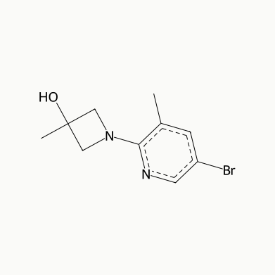 Cc1cc(Br)cnc1N1CC(C)(O)C1